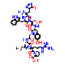 CC(C)C[C@H](NC(=O)CNC(=O)[C@H](Cc1ccc(O)cc1)NC(=O)[C@H](CO)NC(=O)[C@H](Cc1c[nH]c2ccccc12)NC(=O)[C@@H](N)CC1=NC=NC1=O)C(=O)N[C@@H](CCCNC(=N)N)C(=O)N1CCC[C@H]1C(=O)O